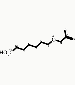 C=C(C)COCCCCCCC(=O)O